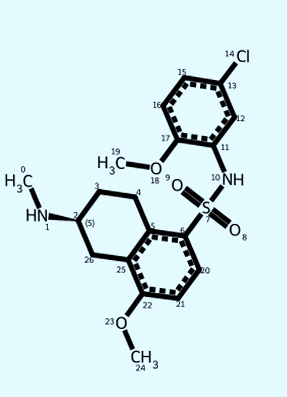 CN[C@H]1CCc2c(S(=O)(=O)Nc3cc(Cl)ccc3OC)ccc(OC)c2C1